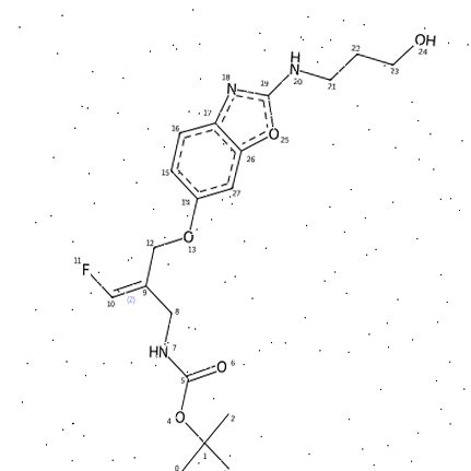 CC(C)(C)OC(=O)NC/C(=C/F)COc1ccc2nc(NCCCO)oc2c1